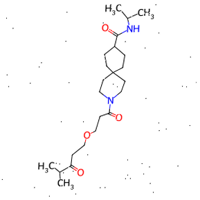 CC(C)NC(=O)C1CCC2(CC1)CCN(C(=O)CCOCCC(=O)C(C)C)CC2